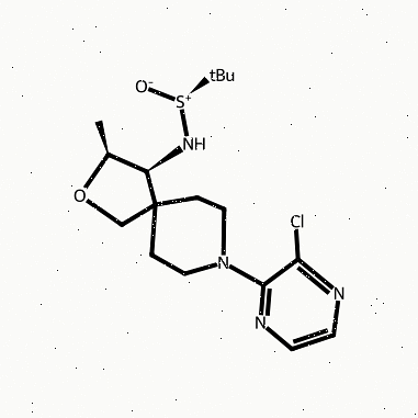 C[C@@H]1OCC2(CCN(c3nccnc3Cl)CC2)[C@@H]1N[S@@+]([O-])C(C)(C)C